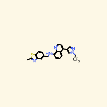 Cc1nc2cc(CNc3cccc4c(-c5cnn(CC(F)(F)F)c5)ccnc34)ccc2s1